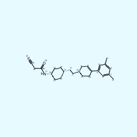 Cc1cc(C)cc(C2=CCN(CC[C@H]3CC[C@@H](NC(=O)CC#N)CC3)CC2)c1